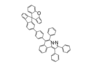 c1ccc(-c2nn3c(-c4ccccc4)c(-c4ccc(-c5ccc6c(c5)C5(c7ccccc7Oc7ccccc75)c5ccccc5-6)cc4)c4ccccc4c3c2-c2ccccc2)cc1